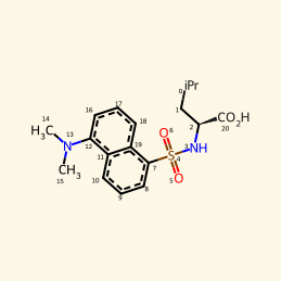 CC(C)C[C@H](NS(=O)(=O)c1cccc2c(N(C)C)cccc12)C(=O)O